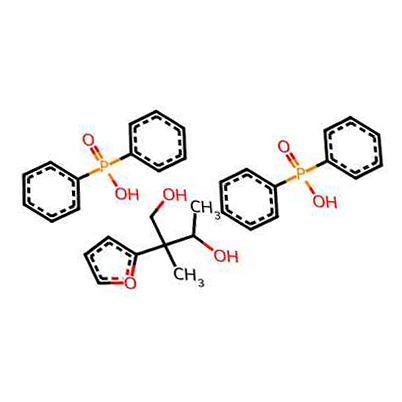 CC(O)C(C)(CO)c1ccco1.O=P(O)(c1ccccc1)c1ccccc1.O=P(O)(c1ccccc1)c1ccccc1